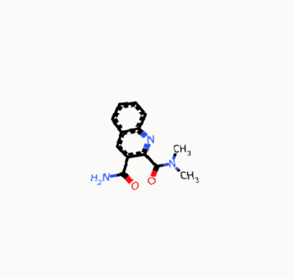 CN(C)C(=O)c1nc2ccccc2cc1C(N)=O